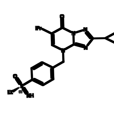 CC[S@](=N)(=O)c1ccc(Cn2cc(C(C)C)c(=O)n3nc(C4CC4)nc23)cc1